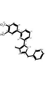 Cc1nc(Cc2cccnc2)sc1-c1cccc(-c2ccc(C(=O)O)c(O)c2)n1